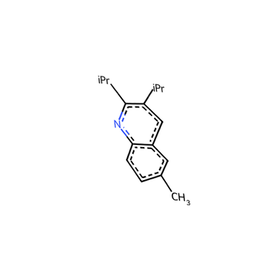 Cc1ccc2nc(C(C)C)c(C(C)C)cc2c1